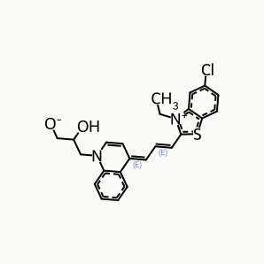 CC[n+]1c(/C=C/C=C2\C=CN(CC(O)C[O-])c3ccccc32)sc2ccc(Cl)cc21